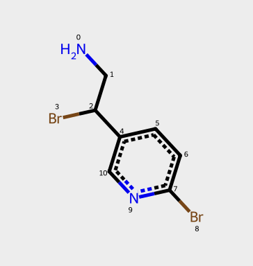 NCC(Br)c1ccc(Br)nc1